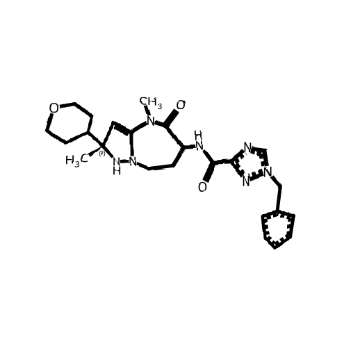 CN1C(=O)C(NC(=O)c2ncn(Cc3ccccc3)n2)CCN2N[C@](C)(C3CCOCC3)C=C21